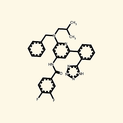 CC(C)CN(Cc1ccccc1)c1cc(NC(=O)c2ccc(F)c(F)c2)cc(-c2ccccc2-c2nnn[nH]2)n1